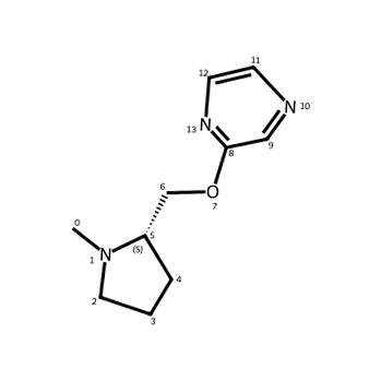 CN1CCC[C@H]1COc1cnccn1